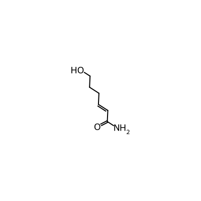 NC(=O)C=CCCCO